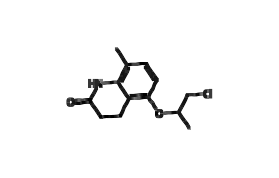 Cc1ccc(OC(C)CCl)c2c1NC(=O)CC2